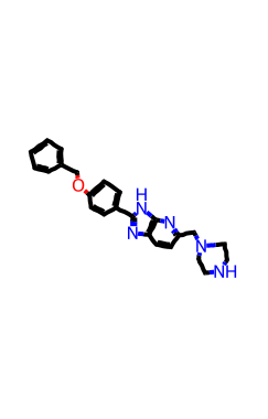 c1ccc(COc2ccc(-c3nc4ccc(CN5CCNCC5)nc4[nH]3)cc2)cc1